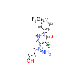 NN(CCCO)c1cnn(-c2cccc(C(F)(F)F)c2)c(=O)c1Cl